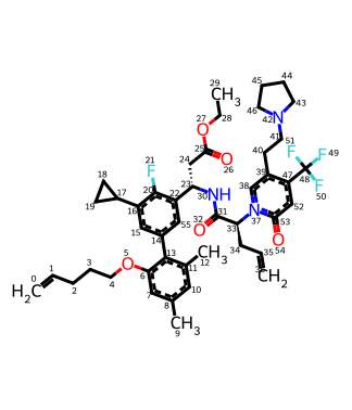 C=CCCCOc1cc(C)cc(C)c1-c1cc(C2CC2)c(F)c([C@H](CC(=O)OCC)NC(=O)[C@H](CC=C)n2cc(CCN3CCCC3)c(C(F)(F)F)cc2=O)c1